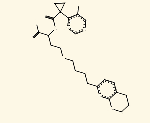 O=C(O)C(CCOCCCCc1ccc2c(n1)NCCC2)NC(=O)C1(c2ncncc2Cl)CC1